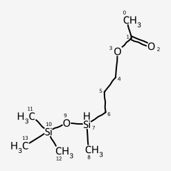 CC(=O)OCCC[SiH](C)O[Si](C)(C)C